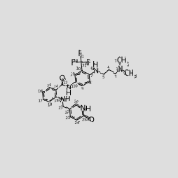 CN(C)CCCNc1ccc(NC(=O)c2ccccc2NCc2ccc(=O)[nH]c2)cc1C(F)(F)F